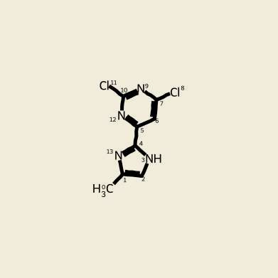 Cc1c[nH]c(-c2cc(Cl)nc(Cl)n2)n1